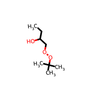 CCC(O)COOC(C)(C)C